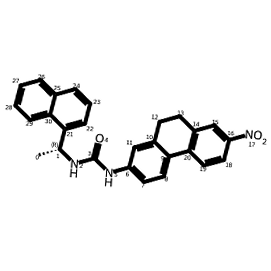 C[C@@H](NC(=O)Nc1ccc2c(c1)CCc1cc([N+](=O)[O-])ccc1-2)c1cccc2ccccc12